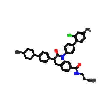 CC(C)(C)C1CCC(c2ccc(C(Cc3ccc(C(=O)NCCS(=O)(=O)O)cc3)C(=O)Nc3ccc(-c4ccc(C(F)(F)F)cc4Cl)cc3)cc2)CC1